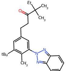 CCC(C)(C)C(=O)CCc1cc(-n2nc3ccccc3n2)c(C)c(C(C)(C)C)c1